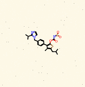 Cc1c(CC(C)C)sc(OC(=O)N=S(=O)=O)c1-c1ccc(Cn2ccnc2C(C)C)cc1